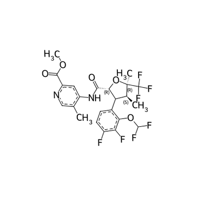 COC(=O)c1cc(NC(=O)[C@@H]2O[C@@](C)(C(F)(F)F)[C@@H](C)C2c2ccc(F)c(F)c2OC(F)F)c(C)cn1